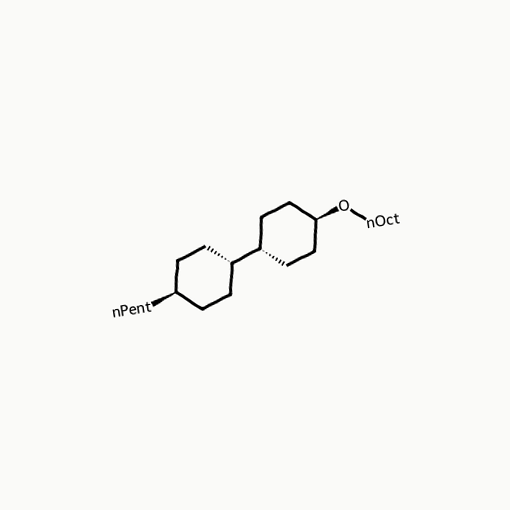 CCCCCCCCO[C@H]1CC[C@H]([C@H]2CC[C@H](CCCCC)CC2)CC1